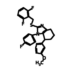 COc1cccc(C2CCCc3nc(SCc4c(F)cccc4F)n(-c4ccc(F)cc4)c32)c1